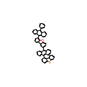 c1ccc(-c2c3ccccc3c(-c3cccc4c3oc3ccc(-c5c6ccccc6c(-c6cccc7sc8ccccc8c67)c6ccccc56)cc34)c3ccccc23)cc1